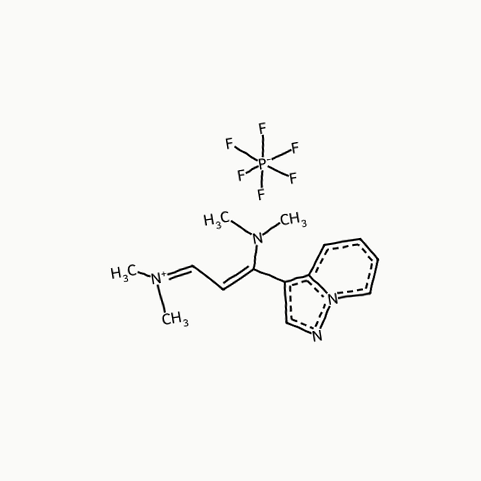 CN(C)/C(=C\C=[N+](C)C)c1cnn2ccccc12.F[P-](F)(F)(F)(F)F